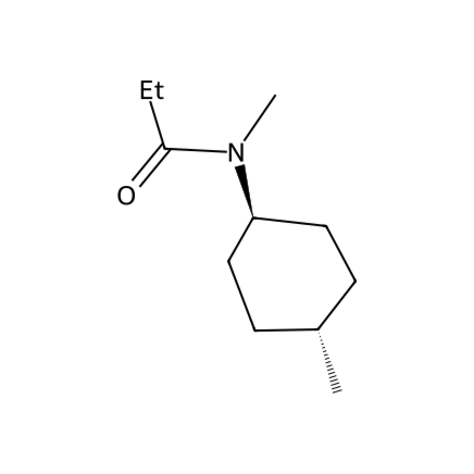 CCC(=O)N(C)[C@H]1CC[C@H](C)CC1